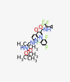 CC(C)(CNc1ccc2c(=O)c(C(=O)N[C@@H](C3CC3)C(F)(F)F)cn(-c3c(F)cc(F)cc3F)c2n1)NC(=O)OC(C)(C)C